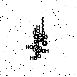 CC(O)Oc1ccccc1.CCCCCCCCOC(=O)C(=Cc1ccccc1)OC.O=C(O)CN(CCN(CC(=O)O)CC(=O)O)CC(=O)O